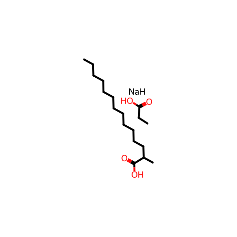 CCC(=O)O.CCCCCCCCCCCCC(C)C(=O)O.[NaH]